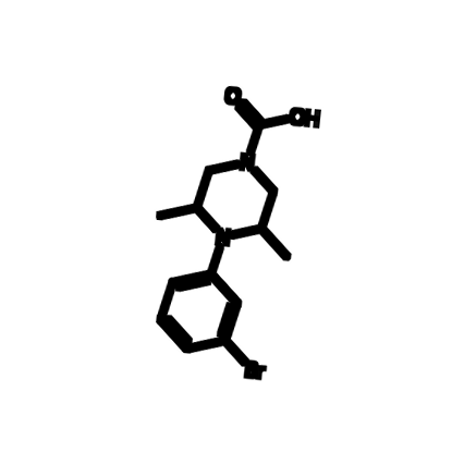 CC1CN(C(=O)O)CC(C)N1c1cccc(Br)c1